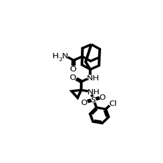 NC(=O)C12CC3CC(CC(NC(=O)C4(NS(=O)(=O)c5ccccc5Cl)CC4)(C3)C1)C2